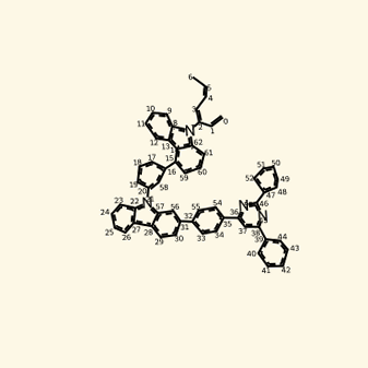 C=C/C(=C\C=C/C)n1c2ccccc2c2c(-c3cccc(-n4c5ccccc5c5ccc(-c6ccc(-c7cc(-c8ccccc8)nc(-c8ccccc8)n7)cc6)cc54)c3)cccc21